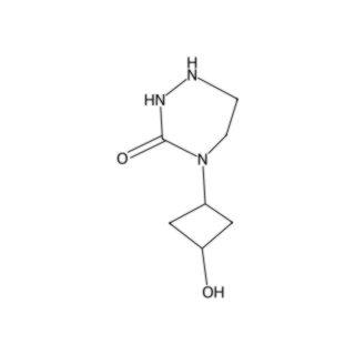 O=C1NNCCN1C1CC(O)C1